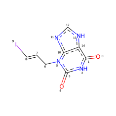 O=c1[nH]c(=O)n(CC=CI)c2nc[nH]c12